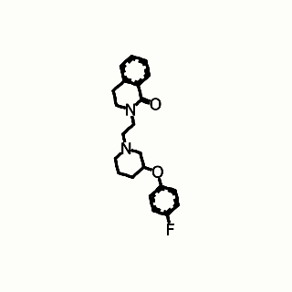 O=C1c2ccccc2CCN1CCN1CCCC(Oc2ccc(F)cc2)C1